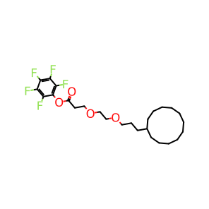 O=C(CCOCCOCCCC1CCCCCCCCCCC1)Oc1c(F)c(F)c(F)c(F)c1F